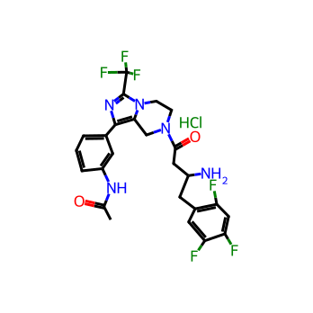 CC(=O)Nc1cccc(-c2nc(C(F)(F)F)n3c2CN(C(=O)CC(N)Cc2cc(F)c(F)cc2F)CC3)c1.Cl